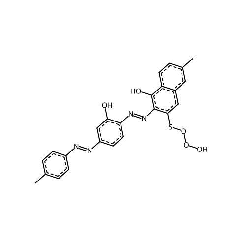 Cc1ccc(N=Nc2ccc(N=Nc3c(SOOO)cc4cc(C)ccc4c3O)c(O)c2)cc1